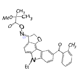 CCn1c2ccc(C(=O)c3ccccc3C)cc2c2c3c(ccc21)/C(=N/OC(=O)C(C)(C)OC)CO3